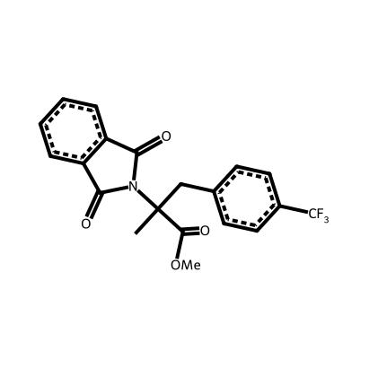 COC(=O)C(C)(Cc1ccc(C(F)(F)F)cc1)N1C(=O)c2ccccc2C1=O